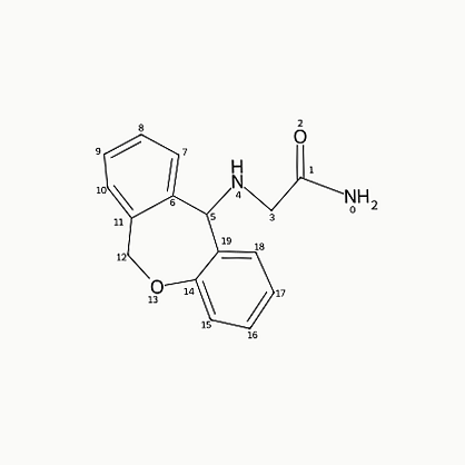 NC(=O)CNC1c2ccccc2COc2ccccc21